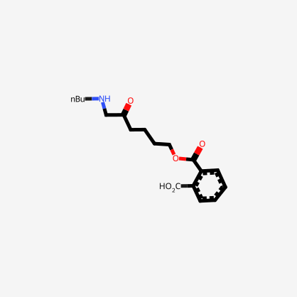 CCCCNCC(=O)CCCCOC(=O)c1ccccc1C(=O)O